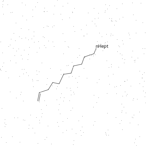 C=CCCCCCCCCCCCCCC[CH]C